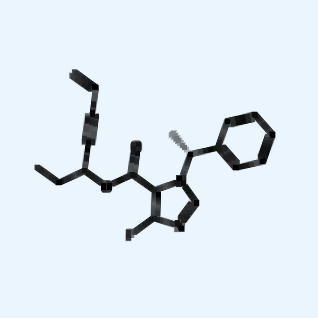 C=CC#CC(CC)OC(=O)c1c(F)ncn1[C@H](C)c1ccccc1